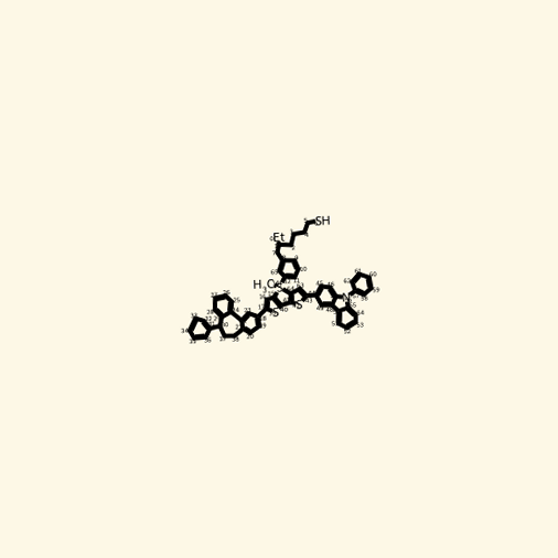 CCC(CCCCS)Cc1cccc(S2(C)c3cc(-c4ccc5c(c4)-c4ccccc4C(c4ccccc4)CC5)sc3-c3sc(-c4ccc5c(c4)c4ccccc4n5-c4ccccc4)cc32)c1